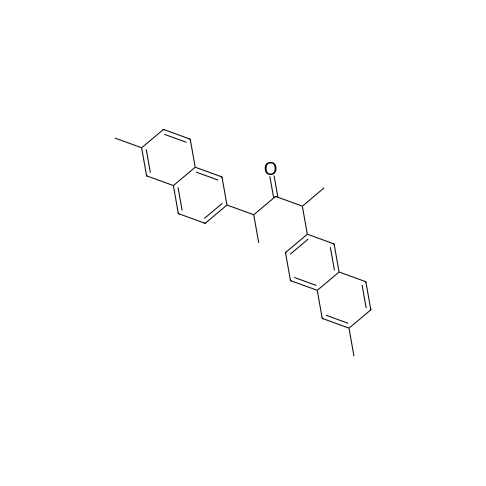 Cc1ccc2cc(C(C)C(=O)C(C)c3ccc4cc(C)ccc4c3)ccc2c1